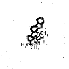 C[SiH](C)[Zr]([CH3])([CH3])[c]1c(C2=CC(C(C)(C)C)=CC2)ccc2c1Cc1ccccc1-2